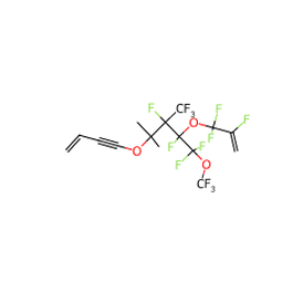 C=CC#COC(C)(C)C(F)(C(F)(F)F)C(F)(OC(F)(F)C(=C)F)C(F)(F)OC(F)(F)F